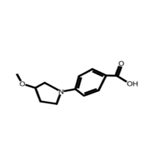 COC1CCN(c2ccc(C(=O)O)cc2)C1